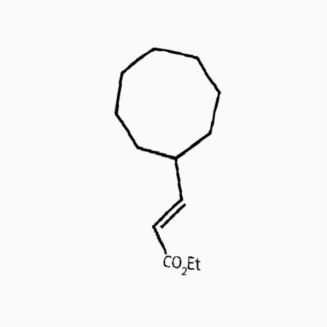 CCOC(=O)/C=C/C1CCCCCCC1